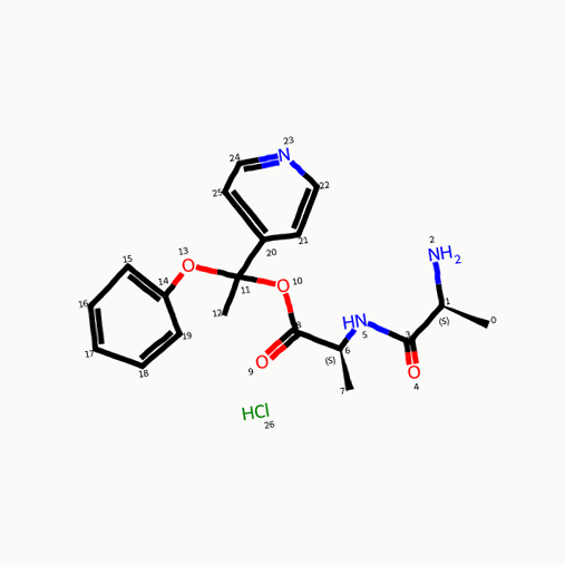 C[C@H](N)C(=O)N[C@@H](C)C(=O)OC(C)(Oc1ccccc1)c1ccncc1.Cl